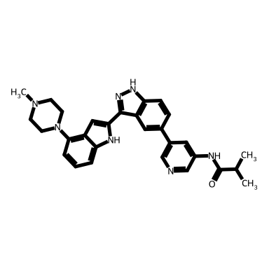 CC(C)C(=O)Nc1cncc(-c2ccc3[nH]nc(-c4cc5c(N6CCN(C)CC6)cccc5[nH]4)c3c2)c1